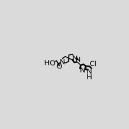 O=C(CO)N1CCC2(CC1)CCn1nc(-c3cnc4[nH]cc(Cl)c4c3)cc12